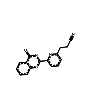 N#CCCc1cccc(-c2nc(=O)c3ccccc3s2)n1